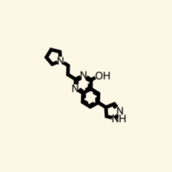 Oc1nc(CCN2CCCC2)nc2ccc(C3C=NNC3)cc12